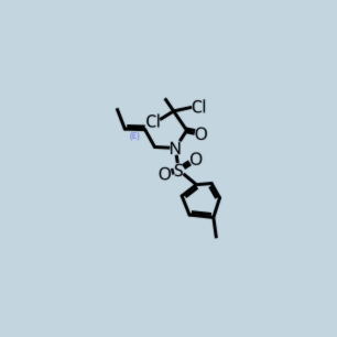 C/C=C/CN(C(=O)C(C)(Cl)Cl)S(=O)(=O)c1ccc(C)cc1